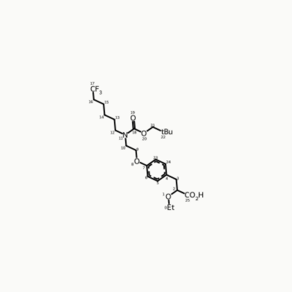 CCOC(Cc1ccc(OCCN(CCCCCC(F)(F)F)C(=O)OCC(C)(C)C)cc1)C(=O)O